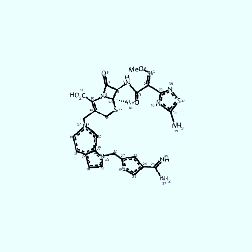 CO/N=C(\C(=O)N[C@@H]1C(=O)N2C(C(=O)O)=C(C[n+]3ccc4ccn(Cc5cc(C(=N)N)cs5)c4c3)CS[C@H]12)c1nsc(N)n1